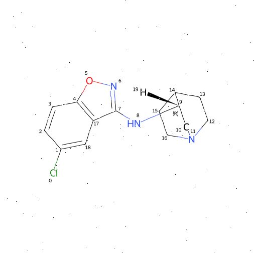 Clc1ccc2onc(N[C@H]3CN4CCC3CC4)c2c1